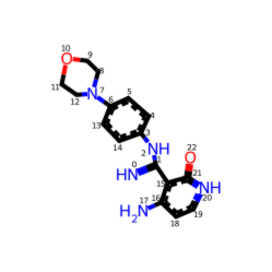 N=C(Nc1ccc(N2CCOCC2)cc1)c1c(N)cc[nH]c1=O